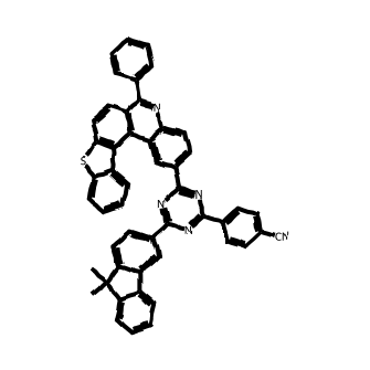 CC1(C)c2ccccc2-c2cc(-c3nc(-c4ccc(C#N)cc4)nc(-c4ccc5nc(-c6ccccc6)c6ccc7sc8ccccc8c7c6c5c4)n3)ccc21